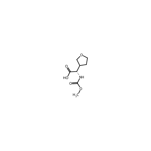 COC(=O)N[C@H](C(=O)O)C1CCOC1